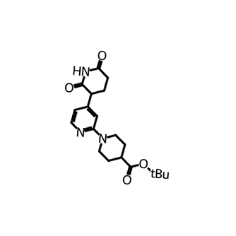 CC(C)(C)OC(=O)C1CCN(c2cc(C3CCC(=O)NC3=O)ccn2)CC1